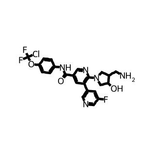 NCC1CN(c2ncc(C(=O)Nc3ccc(OC(F)(F)Cl)cc3)cc2-c2cncc(F)c2)CC1O